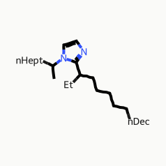 CCCCCCCCCCCCCCCC(CC)c1nccn1C(C)CCCCCCC